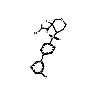 O=C(NO)C1(O)COCCC1S(=O)(=O)c1ccc(-c2cccc(F)c2)cc1